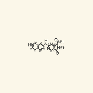 CCC(=O)n1c2nc(Nc3ccc4c(c3)CNCC4)ncc2c(=O)n1CC